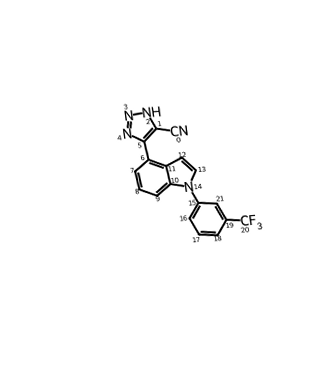 N#Cc1[nH]nnc1-c1cccc2c1ccn2-c1cccc(C(F)(F)F)c1